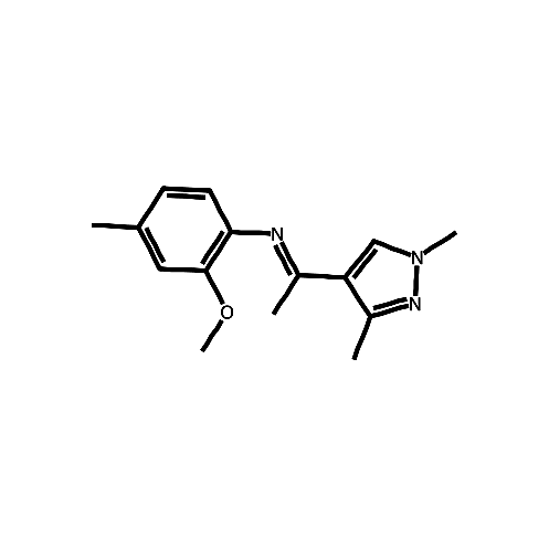 COc1cc(C)ccc1N=C(C)c1cn(C)nc1C